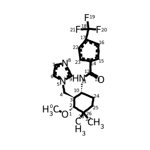 CO[C@@H]1[C@@H](Cn2ccnc2)[C@H](NC(=O)c2ccc(C(F)(F)F)cc2)CCC1(C)C